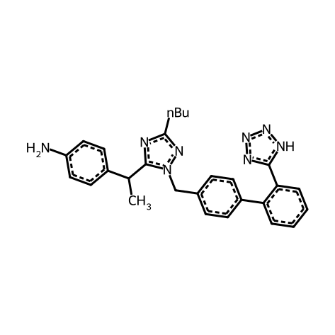 CCCCc1nc(C(C)c2ccc(N)cc2)n(Cc2ccc(-c3ccccc3-c3nnn[nH]3)cc2)n1